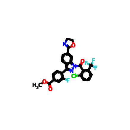 COC(=O)c1ccc(-c2nn(C(=O)c3c(Cl)cccc3C(F)(F)F)c3cc(C4=NCCO4)ccc23)c(F)c1